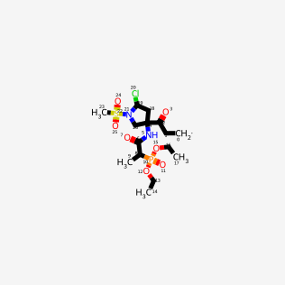 [CH2]CC(=O)C1(NC(=O)C(C)P(=O)(OCC)OCC)CC(Cl)N(S(C)(=O)=O)C1